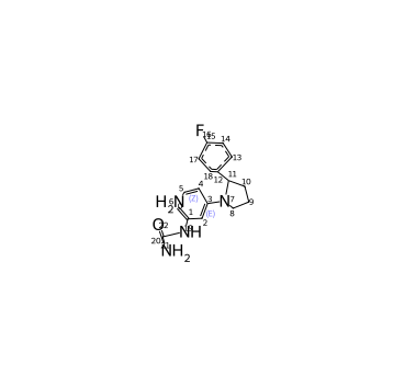 C=C(/C=C(\C=C/N)N1CCCC1c1ccc(F)cc1)NC(N)=O